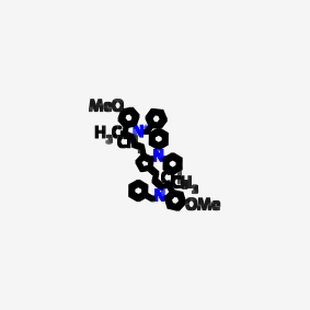 COc1ccc2c(c1)C(C)(C)C(/C=C/C1=C(N(c3ccccc3)c3ccccc3)C(=C/C=C3/N(Cc4ccccc4)c4ccc(OC)cc4C3(C)C)/CC1)=[N+]2Cc1ccccc1